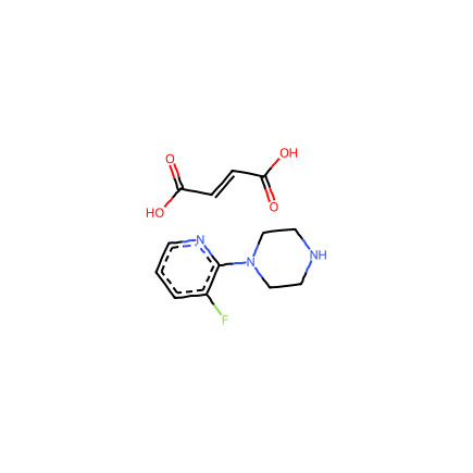 Fc1cccnc1N1CCNCC1.O=C(O)C=CC(=O)O